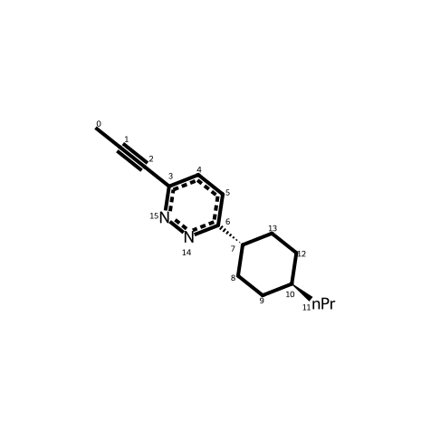 CC#Cc1ccc([C@H]2CC[C@H](CCC)CC2)nn1